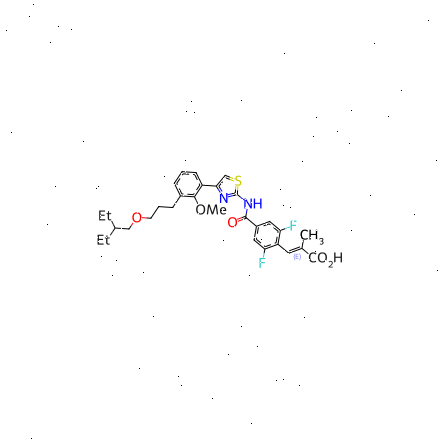 CCC(CC)COCCCc1cccc(-c2csc(NC(=O)c3cc(F)c(/C=C(\C)C(=O)O)c(F)c3)n2)c1OC